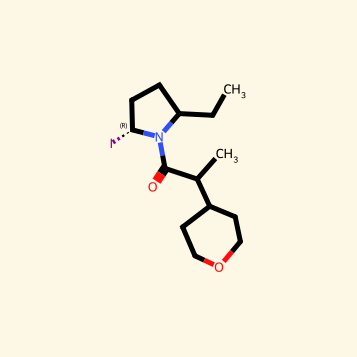 CCC1CC[C@@H](I)N1C(=O)C(C)C1CCOCC1